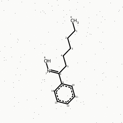 CCCCCCC(=NO)c1ccccc1